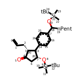 C=CC[C@H]1C(=O)C[C@@H](O[Si](C)(C)C(C)(C)C)C1c1ccc(C(CCCCC)O[Si](C)(C)C(C)(C)C)cc1